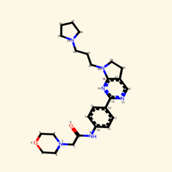 O=C(CN1CCOCC1)Nc1ccc(-c2ncc3c(n2)N(CCCN2CCCC2)CC3)cc1